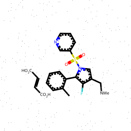 CNCc1cn(S(=O)(=O)c2cccnc2)c(-c2ccccc2C)c1F.O=C(O)/C=C/C(=O)O